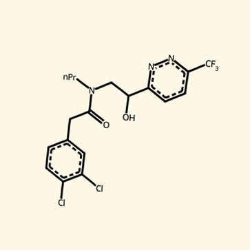 CCCN(CC(O)c1ccc(C(F)(F)F)nn1)C(=O)Cc1ccc(Cl)c(Cl)c1